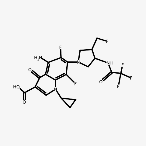 Nc1c(F)c(N2CC(CF)C(NC(=O)C(F)(F)F)C2)c(F)c2c1c(=O)c(C(=O)O)cn2C1CC1